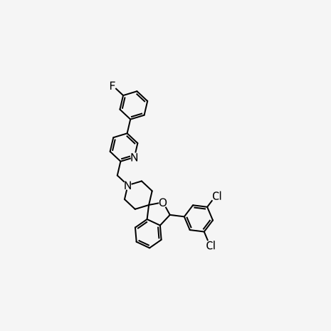 Fc1cccc(-c2ccc(CN3CCC4(CC3)OC(c3cc(Cl)cc(Cl)c3)c3ccccc34)nc2)c1